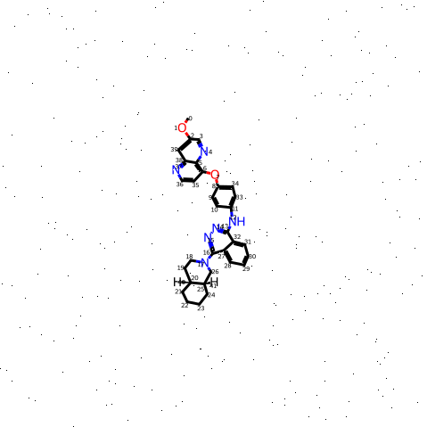 COc1cnc2c(Oc3ccc(Nc4nnc(N5CC[C@H]6CCCC[C@H]6C5)c5ccccc45)cc3)ccnc2c1